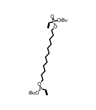 C=CP(OCCCCCCCCCCCCOP(=O)(C=C)OCC(C)C)OCC(C)C